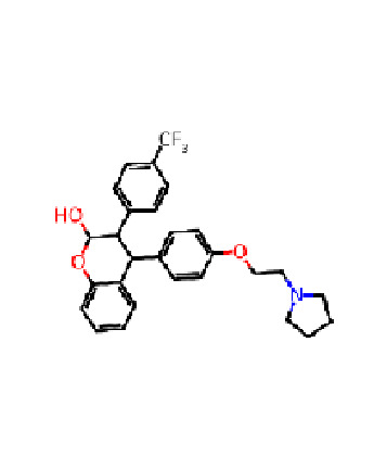 OC1Oc2ccccc2C(c2ccc(OCCN3CCCC3)cc2)C1c1ccc(C(F)(F)F)cc1